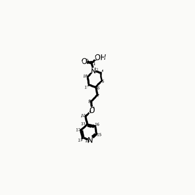 O=C(O)N1CCC(CCOCc2ccncc2)CC1